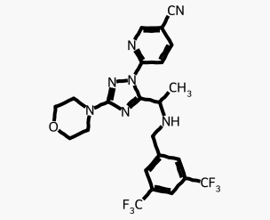 CC(NCc1cc(C(F)(F)F)cc(C(F)(F)F)c1)c1nc(N2CCOCC2)nn1-c1ccc(C#N)cn1